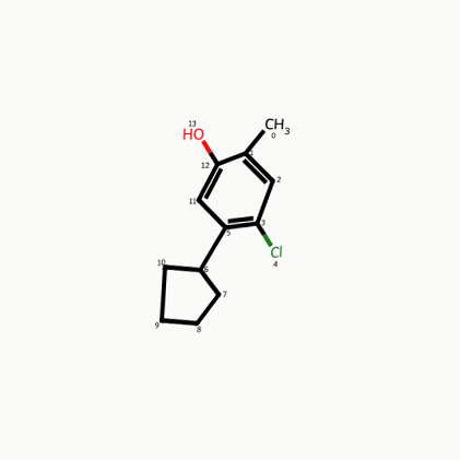 Cc1cc(Cl)c(C2CCCC2)cc1O